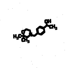 CC(O)c1ccc(CN2CCOC(C)(C)C2)cc1